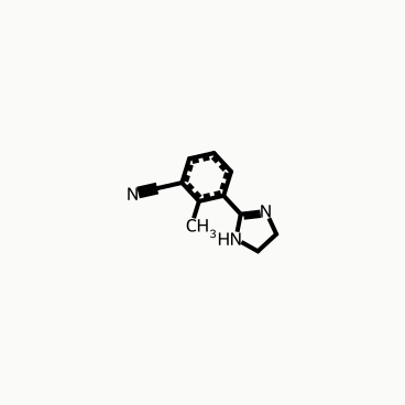 Cc1c(C#N)cccc1C1=NCCN1